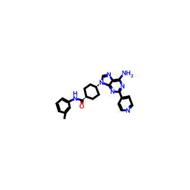 Cc1cccc(NC(=O)[C@H]2CC[C@@H](n3cnc4c(N)nc(-c5ccncc5)nc43)CC2)c1